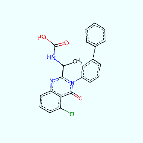 CC(NC(=O)O)c1nc2cccc(Cl)c2c(=O)n1-c1cccc(-c2ccccc2)c1